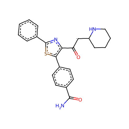 NC(=O)c1ccc(-c2sc(-c3ccccc3)nc2C(=O)[CH]C2CCCCN2)cc1